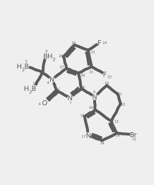 BC(B)(B)n1c(=O)nc(N2CCCc3c(Br)cncc32)c2c(F)c(F)ccc21